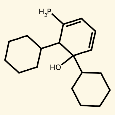 OC1(C2CCCCC2)C=CC=C(P)C1C1CCCCC1